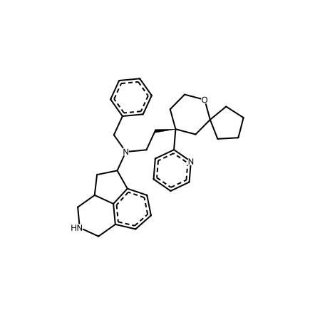 c1ccc(CN(CC[C@@]2(c3ccccn3)CCOC3(CCCC3)C2)C2CC3CNCc4cccc2c43)cc1